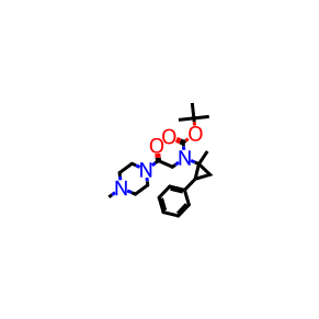 CN1CCN(C(=O)CN(C(=O)OC(C)(C)C)C2(C)CC2c2ccccc2)CC1